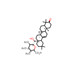 CC(=O)OC1[C@H](C(O)[C@]23CCC(C)(C)CC2C2=CCC4[C@@]5(C)CCC(=O)C(C)(C)C5CC[C@@]4(C)[C@]2(C)CC3)OC(C(=O)O)[C@@H](OC(C)=O)[C@@H]1OC(C)=O